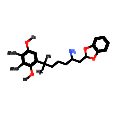 CCOc1cc(C(C)(C#N)CCCC(N)CC2Oc3ccccc3O2)c(OCC)c(OC)c1OC